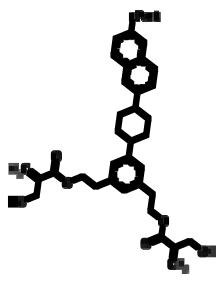 C=C(CO)C(=O)OCCc1cc(CCOC(=O)C(=C)CO)cc(C2CCC(c3ccc4cc(CCCCC)ccc4c3)CC2)c1